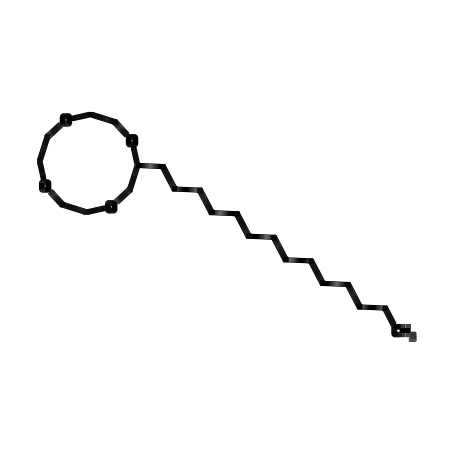 CCCCCCCCCCCCCCC1COCCOCCOCCO1